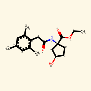 CCOC(=O)[C@]1(NC(=O)Cc2c(C)cc(C)cc2C)CC[C@@H](O)C1